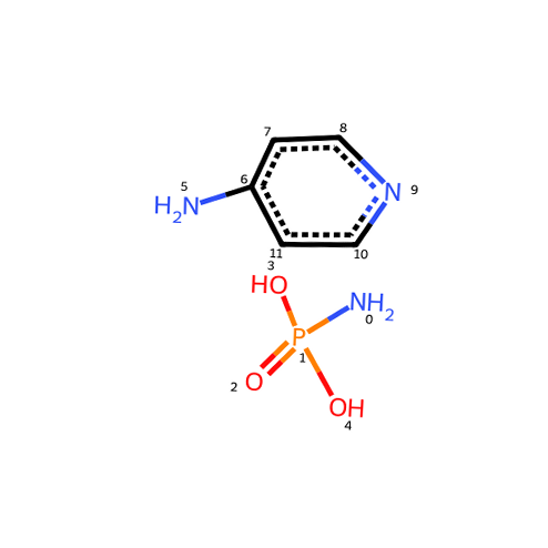 NP(=O)(O)O.Nc1ccncc1